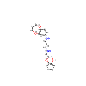 c1ccc2c(c1)OCC(CNCCCNc1ccc3c(c1)OCCCO3)O2